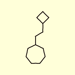 [CH](CC1CCC1)C1CCCCCC1